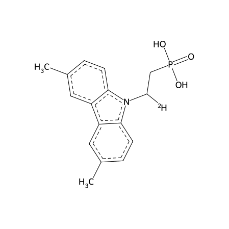 [2H]C(CP(=O)(O)O)n1c2ccc(C)cc2c2cc(C)ccc21